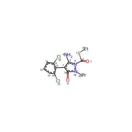 CCSC(=O)n1c(N)c(-c2c(Cl)cccc2Cl)c(=O)n1C(C)C